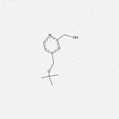 CC(C)(C)OCc1ccnc(CO)c1